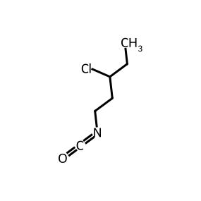 CCC(Cl)CCN=C=O